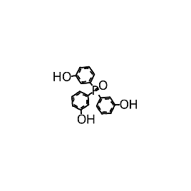 O=P(c1cccc(O)c1)(c1cccc(O)c1)c1cccc(O)c1